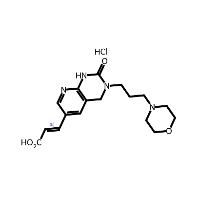 Cl.O=C(O)/C=C/c1cnc2c(c1)CN(CCCN1CCOCC1)C(=O)N2